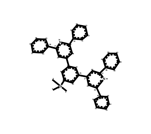 C[Si](C)(C)c1cc(-c2cc(-c3ccccc3)nc(-c3ccccc3)c2)cc(-c2cc(-c3ccccc3)nc(-c3ccccc3)c2)c1